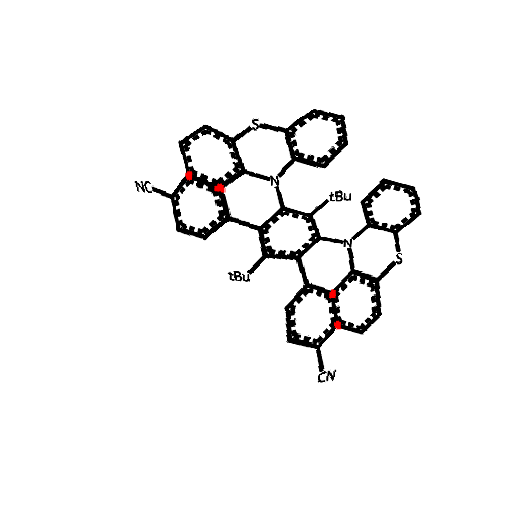 CC(C)(C)c1c(-c2ccc(C#N)cc2)c(N2c3ccccc3Sc3ccccc32)c(C(C)(C)C)c(N2c3ccccc3Sc3ccccc32)c1-c1ccc(C#N)cc1